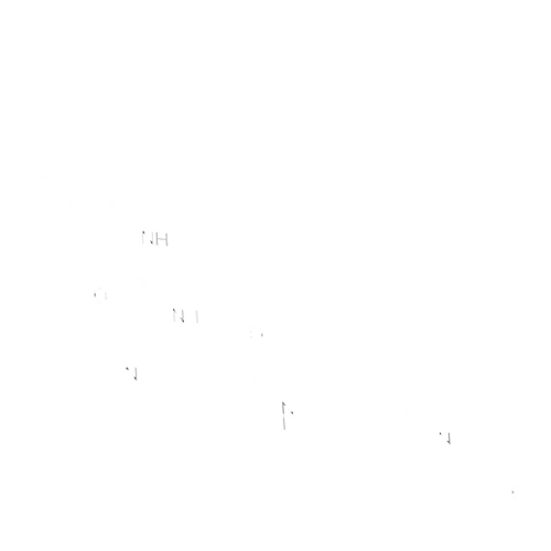 Cc1ccc(NC(=O)Nc2ncccc2C(=O)NCCCN2CCOCC2)cc1